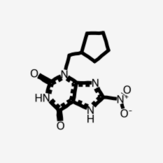 O=c1[nH]c(=O)n(CC2CCCC2)c2nc([N+](=O)[O-])[nH]c12